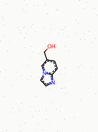 OCc1ccc2n[c]cn2c1